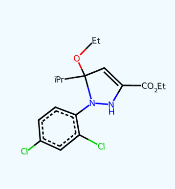 CCOC(=O)C1=CC(OCC)(C(C)C)N(c2ccc(Cl)cc2Cl)N1